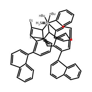 CCC[CH2][Zr](=[SiH2])([CH2]CCC)([c]1ccccc1)([c]1ccccc1)([CH]1C(CC)=Cc2c(-c3cccc4ccccc34)cccc21)[CH]1C(CC)=Cc2c(-c3cccc4ccccc34)cccc21